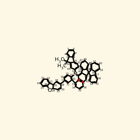 CC1(C)c2ccccc2-c2ccc(N(c3ccc(C4=CC5c6ccccc6OC5C=C4)cc3-c3ccccc3)c3cccc4c3-c3ccccc3C43c4ccccc4-c4ccccc43)cc21